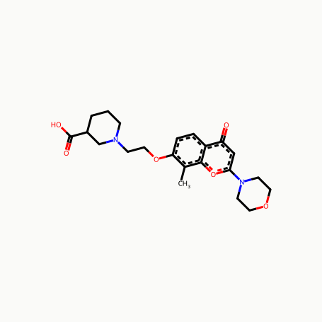 Cc1c(OCCN2CCCC(C(=O)O)C2)ccc2c(=O)cc(N3CCOCC3)oc12